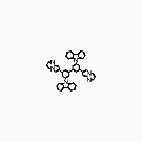 c1ccc2c(c1)c1ccccc1n2-c1cc(-c2cc(-c3cc4ncccn4c3)cc(-n3c4ccccc4c4ccccc43)c2)cc(-c2cc3ncccn3c2)c1